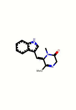 COC1=NCC(=O)N(C)/C1=C\c1c[nH]c2ccccc12